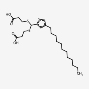 CCCCCCCCCCCCc1csc(C(SCCC(=O)O)SCCC(=O)O)c1